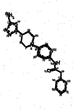 Nc1nnc(C2CCN(c3ccc(NC(=O)Cc4ccccn4)nc3)CC2)s1